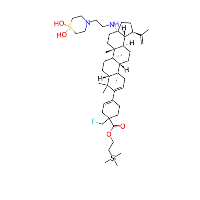 C=C(C)[C@@H]1CC[C@]2(NCCN3CCS(O)(O)CC3)CC[C@]3(C)[C@H](CC[C@@H]4[C@@]5(C)CC=C(C6=CCC(CF)(C(=O)OCC[Si](C)(C)C)CC6)C(C)(C)[C@@H]5CC[C@]43C)[C@@H]12